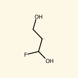 OC[CH]C(O)F